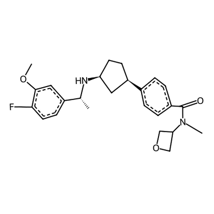 COc1cc([C@@H](C)N[C@H]2CC[C@@H](c3ccc(C(=O)N(C)C4COC4)cc3)C2)ccc1F